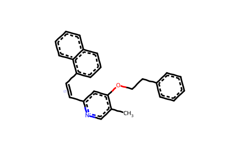 Cc1cnc(/C=C\c2cccc3ccccc23)cc1OCCc1ccccc1